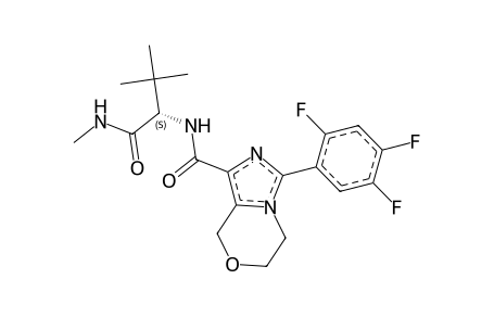 CNC(=O)[C@@H](NC(=O)c1nc(-c2cc(F)c(F)cc2F)n2c1COCC2)C(C)(C)C